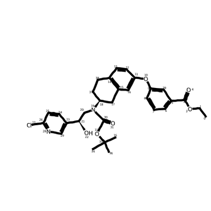 CCOC(=O)c1cccc(Oc2ccc3c(c2)C[C@@H](N(C[C@@H](O)c2ccc(Cl)nc2)C(=O)OC(C)(C)C)CC3)c1